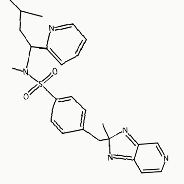 CC(C)CC(c1ccccn1)N(C)S(=O)(=O)c1ccc(CC2(C)N=c3ccncc3=N2)cc1